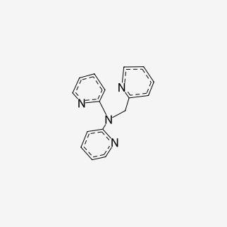 c1ccc(CN(c2ccccn2)c2ccccn2)nc1